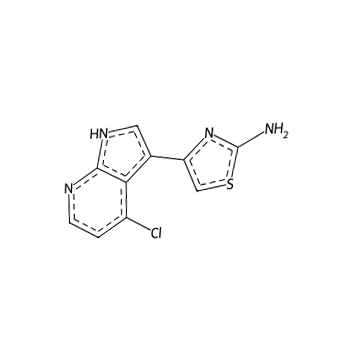 Nc1nc(-c2c[nH]c3nccc(Cl)c23)cs1